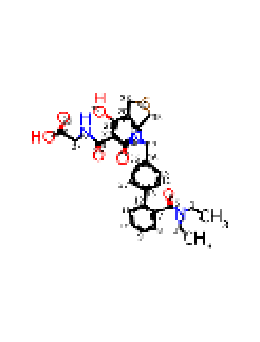 CCN(CC)C(=O)c1ccccc1-c1ccc(Cn2c3c(c(O)c(C(=O)NCC(=O)O)c2=O)CSC3)cc1